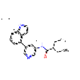 CCC(CC)C(=O)Nc1cncc(-c2cccc3[nH]ccc23)c1